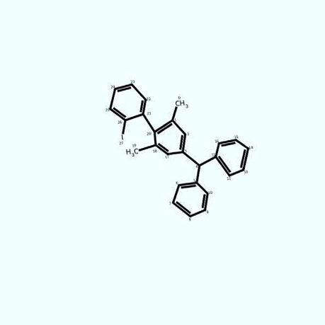 Cc1cc(C(c2ccccc2)c2ccccc2)cc(C)c1-c1ccccc1I